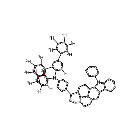 [2H]c1c([2H])c([2H])c(-c2cc(F)c(N(c3ccc(-c4ccc5ccc6cc7c8ccccc8n(-c8ccccc8)c7c7ccc4c5c67)cc3)c3c([2H])c([2H])c([2H])c([2H])c3[2H])c(-c3c([2H])c([2H])c([2H])c([2H])c3[2H])c2)c([2H])c1[2H]